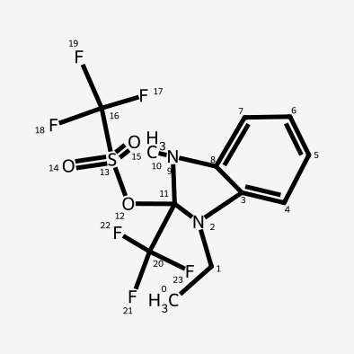 CCN1c2ccccc2N(C)C1(OS(=O)(=O)C(F)(F)F)C(F)(F)F